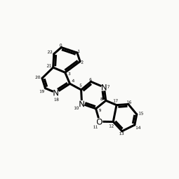 c1ccc2c(-c3cnc4c(n3)oc3ccccc34)nccc2c1